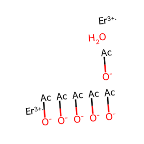 CC(=O)[O-].CC(=O)[O-].CC(=O)[O-].CC(=O)[O-].CC(=O)[O-].CC(=O)[O-].O.[Er+3].[Er+3]